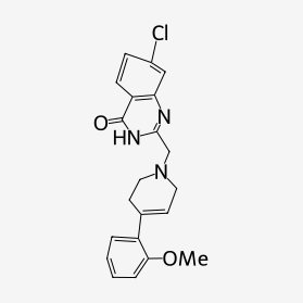 COc1ccccc1C1=CCN(Cc2nc3cc(Cl)ccc3c(=O)[nH]2)CC1